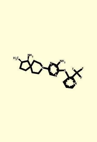 C[C@@H]1CCC2(CCN(c3cnc(Sc4cccnc4C(F)(F)F)c(N)n3)CC2)[C@@H]1N